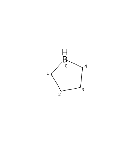 B1[CH]CCC1